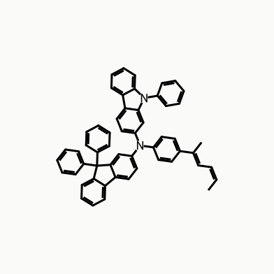 C/C=C\C=C(/C)c1ccc(N(c2ccc3c(c2)C(c2ccccc2)(c2ccccc2)c2ccccc2-3)c2ccc3c4ccccc4n(-c4ccccc4)c3c2)cc1